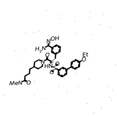 CCOc1ccc(-c2cccc(S(=O)(=O)N[C@@H](Cc3cccc(/C(N)=N\O)c3)C(=O)N3CCC(CCCC(=O)NC)CC3)c2)cc1